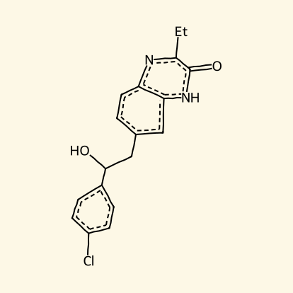 CCc1nc2ccc(CC(O)c3ccc(Cl)cc3)cc2[nH]c1=O